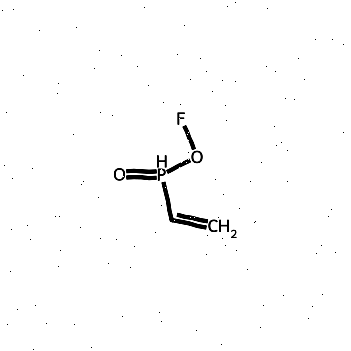 C=C[PH](=O)OF